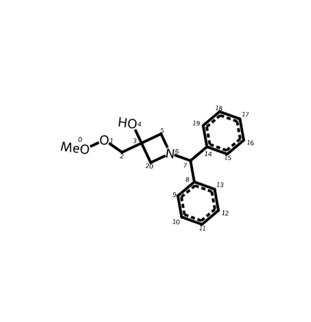 COOCC1(O)CN(C(c2ccccc2)c2ccccc2)C1